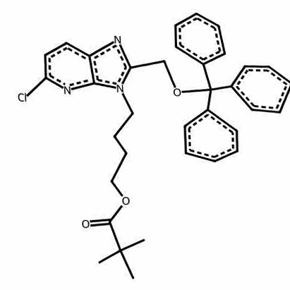 CC(C)(C)C(=O)OCCCCn1c(COC(c2ccccc2)(c2ccccc2)c2ccccc2)nc2ccc(Cl)nc21